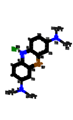 CCCN(CCC)c1ccc2nc3ccc(N(CCC)CCC)cc3[s+]c2c1.[Br-]